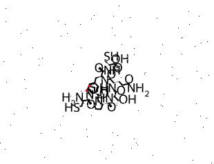 C[C@@H](O)[C@H](NC(=O)[C@@H]1CCCN1C(=O)[C@@H]1CCCN1C(=O)[C@@H](N)CS)C(=O)N[C@@H](CCC(N)=O)C(=O)N[C@@H](Cc1ccccc1)C(=O)N[C@@H](CS)C(=O)O